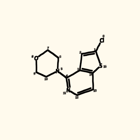 Clc1cc2c(N3CCOCC3)nccc2s1